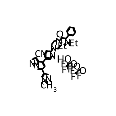 CCN(CC)C(C(=O)N1CCN(c2ccc(-c3cc(-c4cnn(C)c4)cn4ncc(C#N)c34)cn2)CC1)c1ccccc1.O=C(O)C(F)(F)F.O=C(O)C(F)(F)F